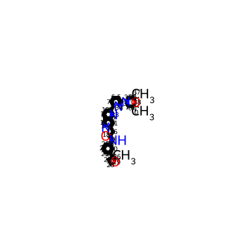 C[C@@H]1CN(c2cccc(-c3ccc4cnc(CC(=O)Nc5cccc(C6(C)CCO6)c5)cc4n3)n2)C[C@H](C)O1